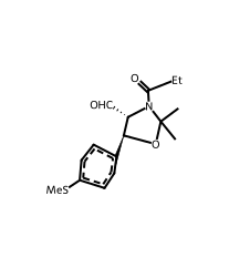 CCC(=O)N1[C@@H](C=O)[C@H](c2ccc(SC)cc2)OC1(C)C